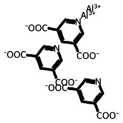 O=C([O-])c1cncc(C(=O)[O-])c1.O=C([O-])c1cncc(C(=O)[O-])c1.O=C([O-])c1cncc(C(=O)[O-])c1.[Al+3].[Al+3]